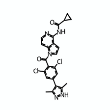 Cc1n[nH]c(C)c1-c1cc(Cl)c(C(=O)n2ccc3c(NC(=O)C4CC4)nccc32)c(Cl)c1